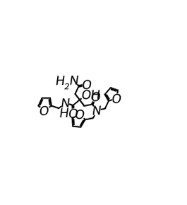 NC(=O)CC(O)(CC(=O)N(Cc1ccco1)Cc1ccco1)C(=O)NCc1ccco1